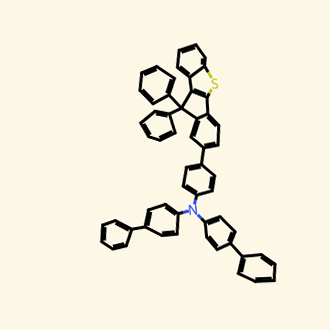 c1ccc(-c2ccc(N(c3ccc(-c4ccccc4)cc3)c3ccc(-c4ccc5c(c4)C(c4ccccc4)(c4ccccc4)c4c-5sc5ccccc45)cc3)cc2)cc1